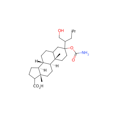 CC(C)CC(CO)C1(OC(N)=O)CC[C@@]2(C)C(CC[C@@H]3[C@@H]2CC[C@]2(C)C(C(=O)O)CC[C@@H]32)C1